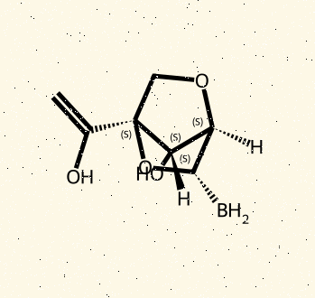 B[C@@H]1O[C@@]2(C(=C)O)CO[C@@H]1[C@@H]2O